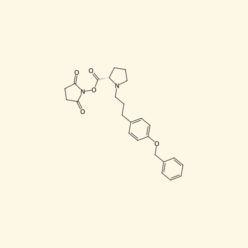 O=C(ON1C(=O)CCC1=O)[C@@H]1CCCN1CCCc1ccc(OCc2ccccc2)cc1